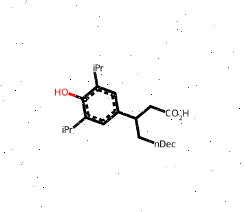 CCCCCCCCCCCC(CC(=O)O)c1cc(C(C)C)c(O)c(C(C)C)c1